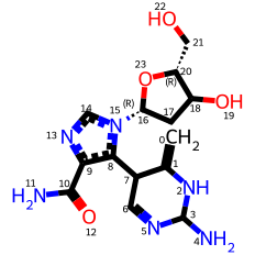 C=C1NC(N)N=CC1c1c(C(N)=O)ncn1[C@H]1CC(O)[C@@H](CO)O1